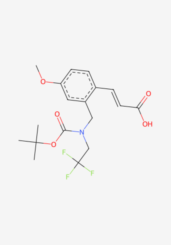 COc1ccc(C=CC(=O)O)c(CN(CC(F)(F)F)C(=O)OC(C)(C)C)c1